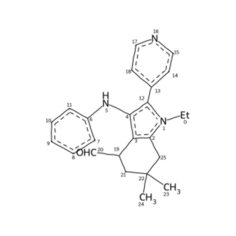 CCn1c2c(c(Nc3ccccc3)c1-c1ccncc1)C(C=O)CC(C)(C)C2